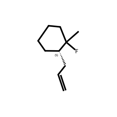 C=CC[C@@H]1CCCCC1(C)F